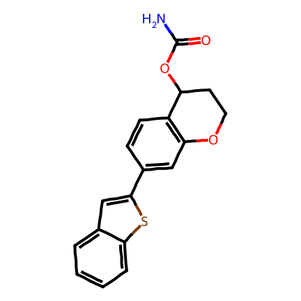 NC(=O)OC1CCOc2cc(-c3cc4ccccc4s3)ccc21